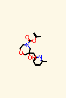 C=C(C)OC(=O)N1CCOCC(O)(Cc2cccc(C)n2)C1